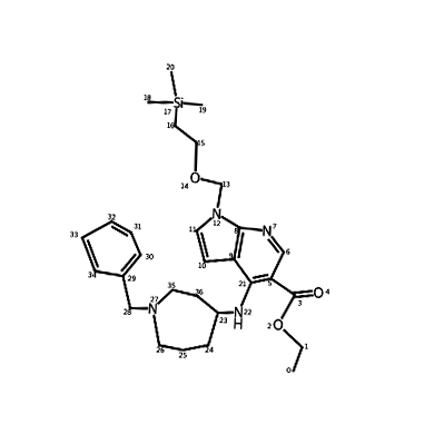 CCOC(=O)c1cnc2c(ccn2COCC[Si](C)(C)C)c1NC1CCCN(Cc2ccccc2)CC1